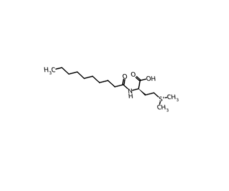 CCCCCCCCCC(=O)N[C@H](CC[S+](C)C)C(=O)O